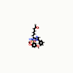 COc1ccc(OC)c(S(=O)(=O)N[C@@H](CCCCCC(C)=O)c2ncc(-c3ccccc3)[nH]2)c1